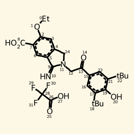 CCOc1cc2c(cc1C(=O)O)C(=N)N(CC(=O)c1cc(C(C)(C)C)c(O)c(C(C)(C)C)c1)C2.O=C(O)C(F)(F)F